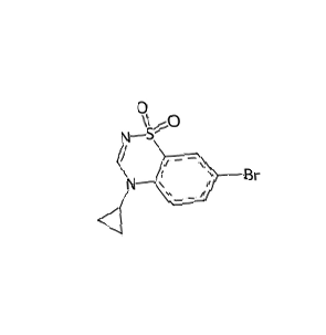 O=S1(=O)N=CN(C2CC2)c2ccc(Br)cc21